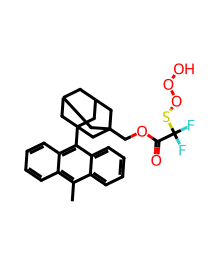 Cc1c2ccccc2c(C23CC4CC(CC(COC(=O)C(F)(F)SOOO)(C4)C2)C3)c2ccccc12